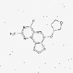 Cc1nc(Cl)c2cc(OC3CCOC3)c3occc3c2n1